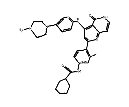 CN1CCN(c2ccc(Nc3cc(-c4ccc(NC(=O)C5CCCCC5)cc4F)nc4cc[nH]c(=O)c34)nc2)CC1